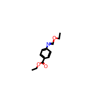 CCOC=Nc1ccc(C(=O)OCC)cc1